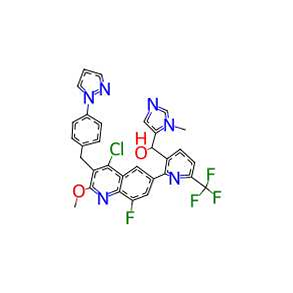 COc1nc2c(F)cc(-c3nc(C(F)(F)F)ccc3C(O)c3cncn3C)cc2c(Cl)c1Cc1ccc(-n2cccn2)cc1